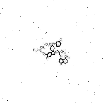 C[C@@H](COc1ccnc2c1[C@H](C)CCC2)C[C@H]1Cc2cc(Cl)c(OCCN(C)C)cc2C12CCC(Nc1cccc(Cl)c1)(C(=O)O)CC2